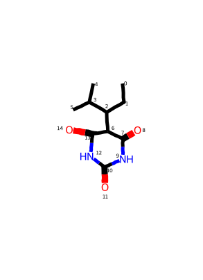 CCC(C(C)C)C1C(=O)NC(=O)NC1=O